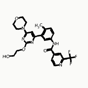 Cc1ccc(NC(=O)c2ccnc(C(F)(F)F)c2)cc1-c1cc(N2CCOCC2)nc(OCCO)n1